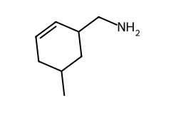 CC1CC=CC(CN)C1